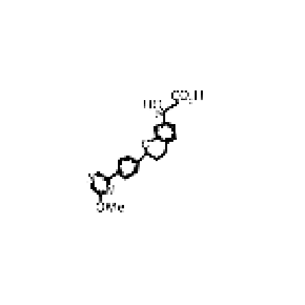 COc1cncc(-c2ccc(C3CCc4ccc([C@H](O)CC(=O)O)cc4O3)cc2)n1